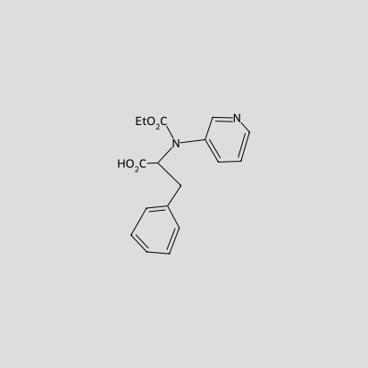 CCOC(=O)N(c1cccnc1)C(Cc1ccccc1)C(=O)O